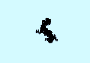 Cc1ccc(C(=O)NC2CC2)cc1-c1ccc2nc(NC[C@]3(C)CCCN3)ncc2c1